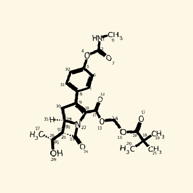 CNC(=O)Oc1ccc(C2=C(C(=O)OCOC(=O)C(C)(C)C)N3C(=O)[C@H]([C@@H](C)O)[C@H]3C2)cc1